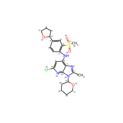 Cc1nc2c(Nc3ccc(C4CCCO4)cc3S(C)(=O)=O)cc(Cl)nc2n1C1CCCCO1